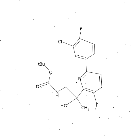 CC(C)(C)OC(=O)NCC(C)(O)c1nc(-c2ccc(F)c(Cl)c2)ccc1F